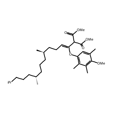 COC(=O)C(C(=O)OC)/C(=C/CC[C@H](C)CCC[C@H](C)CCCC(C)C)Oc1cc(C)c(OC)c(C)c1C